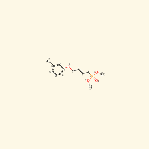 CCOP(=O)(C/C=C/COc1cccc(C(C)=O)c1)OCC